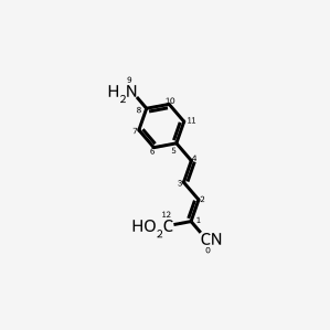 N#CC(=CC=Cc1ccc(N)cc1)C(=O)O